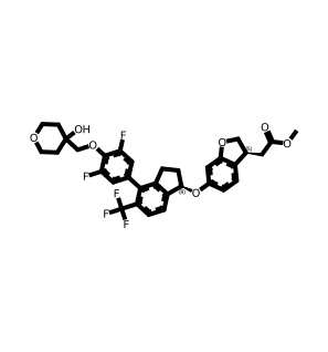 COC(=O)C[C@@H]1COc2cc(O[C@@H]3CCc4c3ccc(C(F)(F)F)c4-c3cc(F)c(OCC4(O)CCOCC4)c(F)c3)ccc21